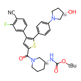 CC(C)(C)OC(=O)N[C@@H]1CCCN(C(=O)c2cc(-c3ccc(C#N)c(F)c3)c(-c3ccc(N4CC[C@H](O)C4)cc3)s2)C1